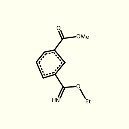 CCOC(=N)c1cccc(C(=O)OC)c1